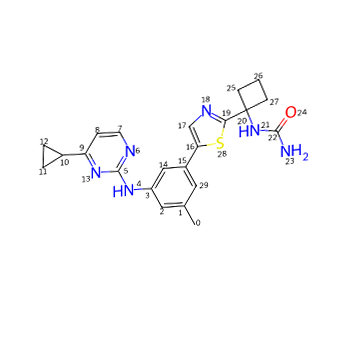 Cc1cc(Nc2nccc(C3CC3)n2)cc(-c2cnc(C3(NC(N)=O)CCC3)s2)c1